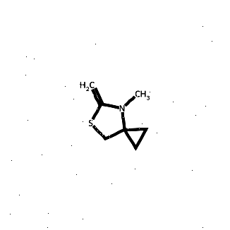 C=C1SCC2(CC2)N1C